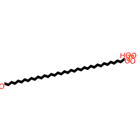 O=P(O)(O)OCCCCCCCCCCCCCCCCCCCCCCCCCCCCCCCCCCCCCO